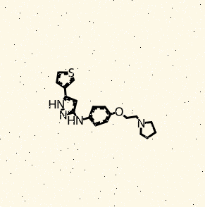 c1cc(-c2cc(Nc3ccc(OCCN4CCCC4)cc3)n[nH]2)cs1